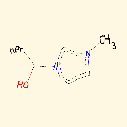 CCCC(O)[n+]1ccn(C)c1